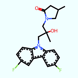 CC1CC(=O)N(CC(C)(O)Cn2c3ccc(F)cc3c3cc(F)ccc32)C1